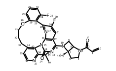 C=CC(=O)N1CC[C@H]2C1CN2c1nc(=O)n2c3nc(c(F)cc13)-c1c(F)cccc1OCCCc1ccnc(C(C)C)c1-2